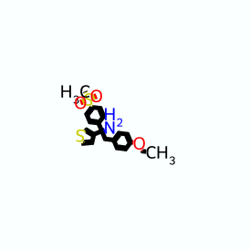 CCOc1ccc(CC(N)(c2ccc(S(C)(=O)=O)cc2)c2ccsc2)cc1